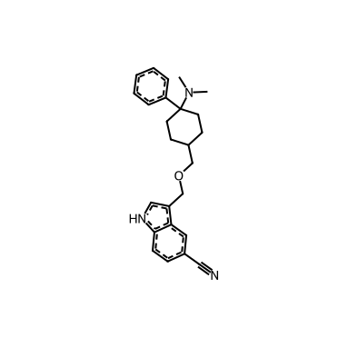 CN(C)C1(c2ccccc2)CCC(COCc2c[nH]c3ccc(C#N)cc23)CC1